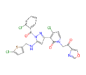 O=C(Cn1ccc(Cl)c(-c2cc(NCc3ccc(Cl)s3)n(C(=O)c3ccccc3Cl)n2)c1=O)c1cocn1